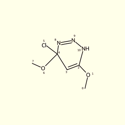 COC1=CC(Cl)(OC)N=NN1